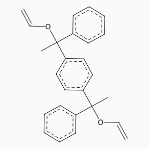 C=COC(C)(c1ccccc1)c1ccc(C(C)(OC=C)c2ccccc2)cc1